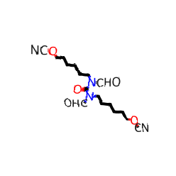 N#COCCCCCCN(C=O)C(=O)N(C=O)CCCCCCOC#N